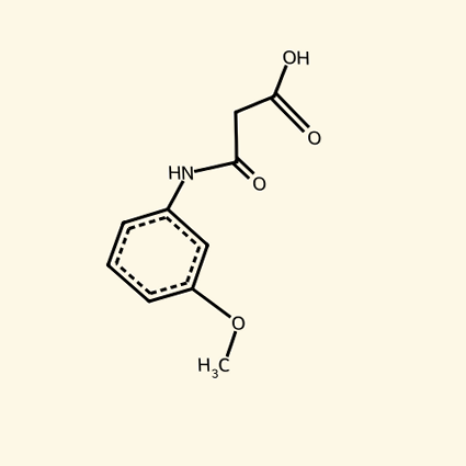 COc1cccc(NC(=O)CC(=O)O)c1